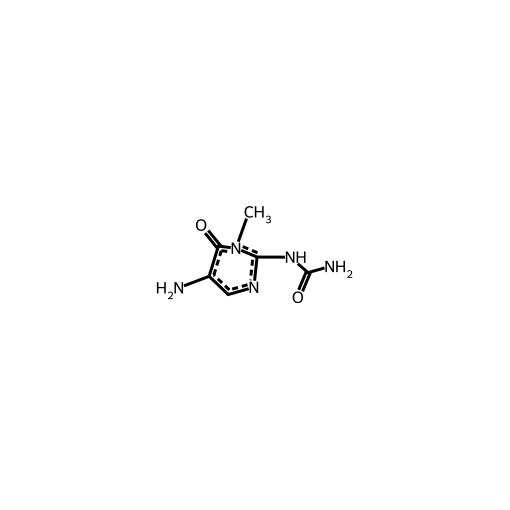 Cn1c(NC(N)=O)ncc(N)c1=O